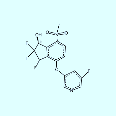 CS(=O)(=O)c1ccc(Oc2cncc(F)c2)c2c1[C@H](O)C(F)(F)C2F